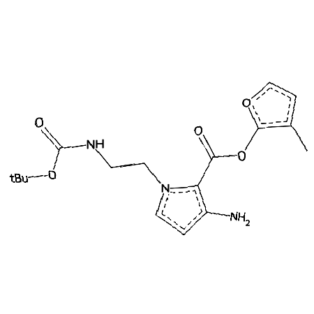 Cc1ccoc1OC(=O)c1c(N)ccn1CCNC(=O)OC(C)(C)C